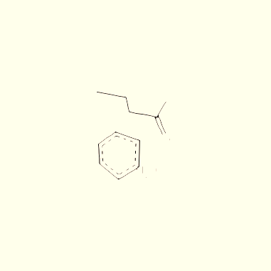 CCCC(=O)Cl.O.c1ccccc1